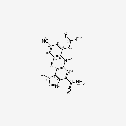 CN(c1cc2c(ncn2C)c(C(N)=O)n1)c1c(F)cc(C#N)cc1CC(F)F